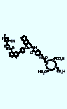 N#C[C@@H]1CC(F)(F)CN1C(=O)CNC(=O)c1ccnc2ccc(-c3ccc(OC[C@H](Cc4ccc5ccccc5c4)NC(=O)C4CCC(CNC(=O)CN5CCN(CC(=O)O)CCN(CC(=O)O)CCN(CC(=O)O)CC5)CC4)cc3)cc12